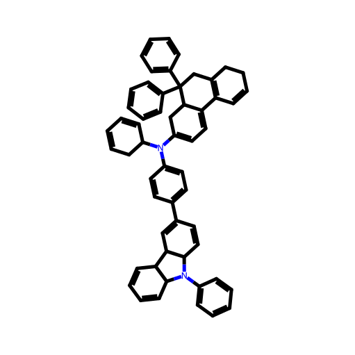 C1=CCC(N(C2=CC=C3C4=C(CCC=C4)CC(c4ccccc4)(c4ccccc4)C3C2)c2ccc(C3=CC4C5C=CC=CC5N(c5ccccc5)C4C=C3)cc2)C=C1